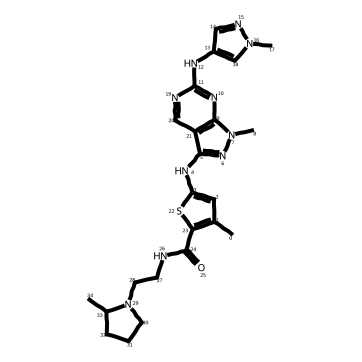 Cc1cc(Nc2nn(C)c3nc(Nc4cnn(C)c4)ncc23)sc1C(=O)NCCN1CCCC1C